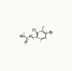 Cc1c(Br)ccc(/C=N/[S+]([O-])C(C)(C)C)c1Cl